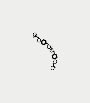 c1cc(OCC2CO2)ccc1COSOCc1ccc(OCC2CO2)cc1